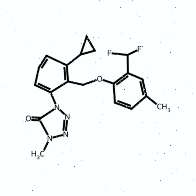 Cc1ccc(OCc2c(C3CC3)cccc2-n2nnn(C)c2=O)c(C(F)F)c1